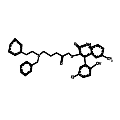 O=C(CCCN(CCc1ccccc1)Cc1ccccc1)CSc1c(-c2cc(Cl)ccc2O)c2cc(C(F)(F)F)ccc2[nH]c1=O